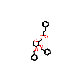 O=C(CCc1ccccc1)OCC1OCCC(OCc2ccccc2)C1OCc1ccccc1